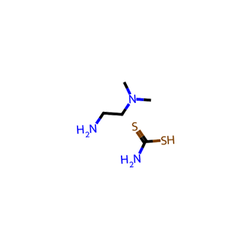 CN(C)CCN.NC(=S)S